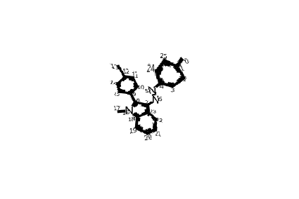 Cc1ccc(N=Nc2c(-c3ccc(C)cc3)n(C)c3ccccc23)cc1